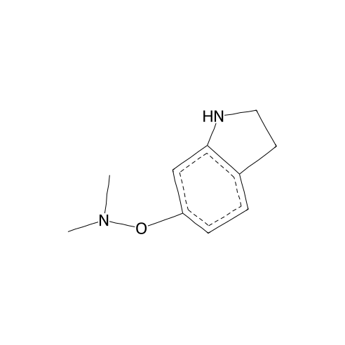 CN(C)Oc1ccc2c(c1)NCC2